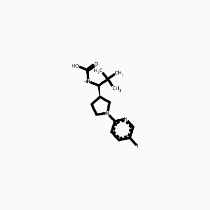 CC(C)(C)C(NC(=O)O)[C@@H]1CCN(c2ccc(I)cn2)C1